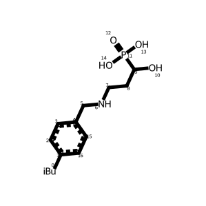 CCC(C)c1ccc(CNCCC(O)P(=O)(O)O)cc1